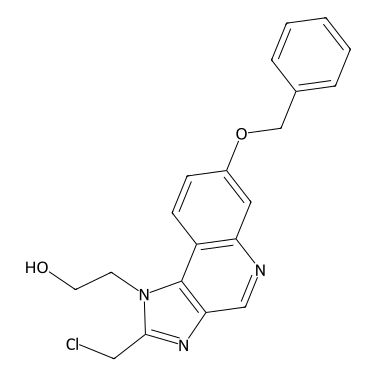 OCCn1c(CCl)nc2cnc3cc(OCc4ccccc4)ccc3c21